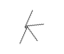 CCCCCCCCCCCCCCCc1ccc(CCCCCCCCCCCCCCC)c(CCCCCCCCCCCCCCC)c1CCCCCCCCCCCCCCC